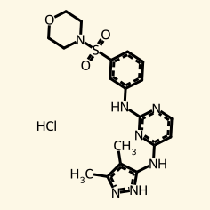 Cc1n[nH]c(Nc2ccnc(Nc3cccc(S(=O)(=O)N4CCOCC4)c3)n2)c1C.Cl